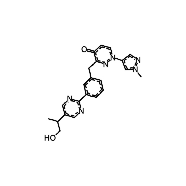 CC(CO)c1cnc(-c2cccc(Cc3nn(-c4cnn(C)c4)ccc3=O)c2)nc1